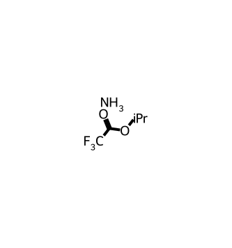 CC(C)OC(=O)C(F)(F)F.N